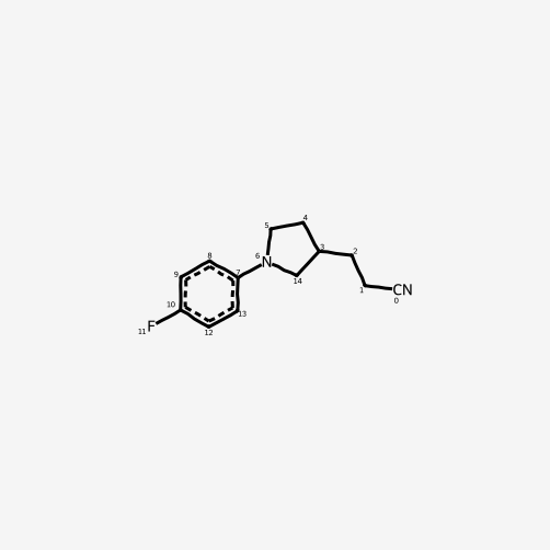 N#CCCC1CCN(c2ccc(F)cc2)C1